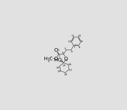 COC(=O)C(CCc1ccccc1)OC1(O)CCCCC1